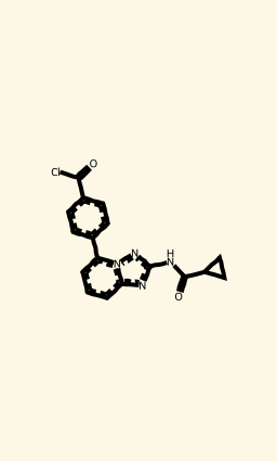 O=C(Cl)c1ccc(-c2cccc3nc(NC(=O)C4CC4)nn23)cc1